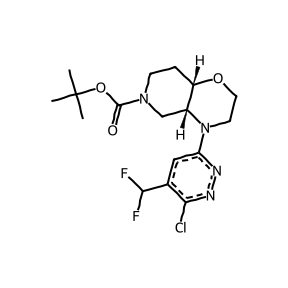 CC(C)(C)OC(=O)N1CC[C@@H]2OCCN(c3cc(C(F)F)c(Cl)nn3)[C@@H]2C1